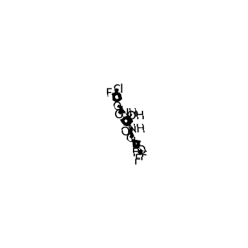 O=C(CO[C@H]1C[C@@H](OC(F)(F)F)C1)NC12CCC(NC(=O)COc3ccc(Cl)c(F)c3)(C1)[C@@H](O)C2